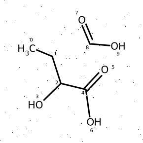 CCC(O)C(=O)O.O=CO